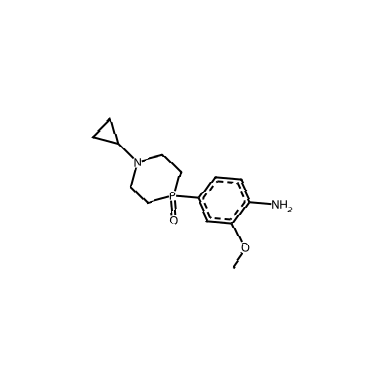 COc1cc(P2(=O)CCN(C3CC3)CC2)ccc1N